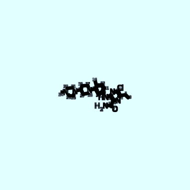 CCc1nc(C(N)=O)c(Nc2ccc(C)c(N3CCC(N4CCN(C)CC4)CC3)c2)nc1Cl